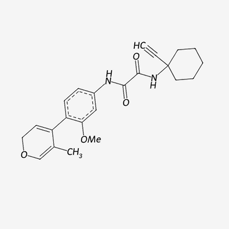 C#CC1(NC(=O)C(=O)Nc2ccc(C3=CCOC=C3C)c(OC)c2)CCCCC1